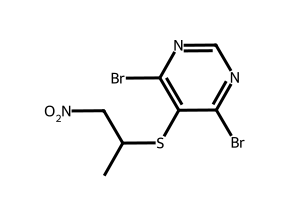 CC(C[N+](=O)[O-])Sc1c(Br)ncnc1Br